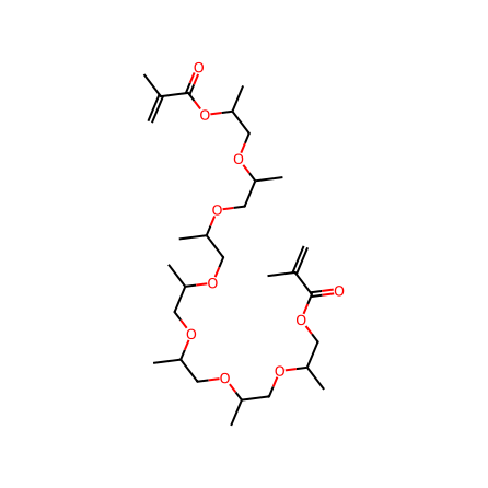 C=C(C)C(=O)OCC(C)OCC(C)OCC(C)OCC(C)OCC(C)OCC(C)OCC(C)OC(=O)C(=C)C